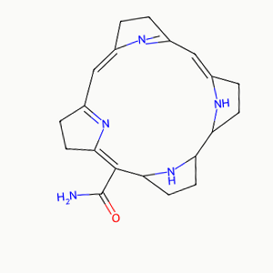 NC(=O)C1=C2CCC(=N2)C=C2CCC(=N2)C=C2CCC(N2)C2CCC1N2